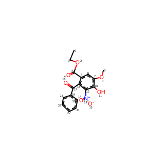 CCOC(=O)c1cc(OC)c(O)c([N+](=O)[O-])c1C(=O)c1ccccc1